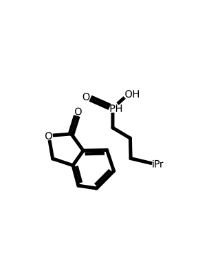 CC(C)CCC[PH](=O)O.O=C1OCc2ccccc21